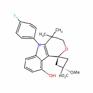 CO[C@]1(C(=O)O)C[C@]2(C1)OCC(C)(C)c1c2c2c(O)cccc2n1-c1ccc(F)cc1